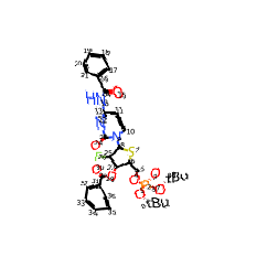 CC(C)(C)OP(=O)(OCC1SC(n2ccc(NC(=O)c3ccccc3)nc2=O)C(F)C1OC(=O)c1ccccc1)OC(C)(C)C